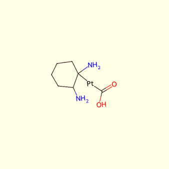 NC1CCCC[C]1(N)[Pt][C](=O)O